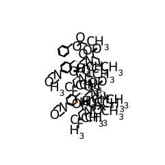 CC(C)CC(C(=O)O[C@H](C)C(=O)OCc1ccccc1)N(C)C(=O)[C@@H](Cc1ccc(N2CCOCC2)cc1)OC(=O)[C@H](CC(C)(C)F)N(C)C(=O)[C@@H](C)OC(=O)[C@H](CC(C)C)N(C)C(=O)[C@@H](Cc1ccc(N2CCOCC2)cc1)OC(=O)C(CC(C)(C)F)N(C)C(=O)OC(C)(C)C